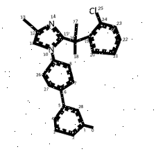 Cc1cccc(-c2ccc(-n3cc(C)nc3C(C)(C)c3ccccc3Cl)cc2)c1